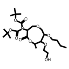 CCCCOC1COCC(N(C(=O)OC(C)(C)C)C(=O)OC(C)(C)C)C(=O)OC(C)C1OCCO